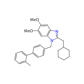 COc1cc2nc(CC3CCCCC3)n(Cc3ccc(-c4ccccc4C)cc3)c2cc1OC